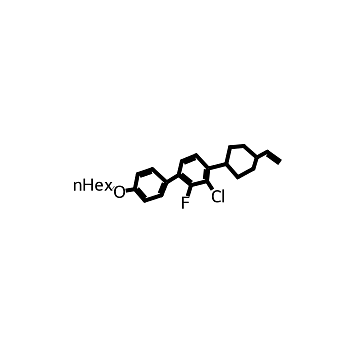 C=CC1CCC(c2ccc(-c3ccc(OCCCCCC)cc3)c(F)c2Cl)CC1